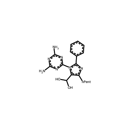 CCCCCc1nc(-c2ccccc2)n(-c2nc(N)nc(N)n2)c1C(O)O